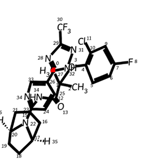 CC(C)(Oc1ccc(F)cc1Cl)C(=O)N[C@H]1C[C@H]2CC[C@@H](C1)N2c1ccc(-c2nc(C(F)(F)F)n[nH]2)cn1